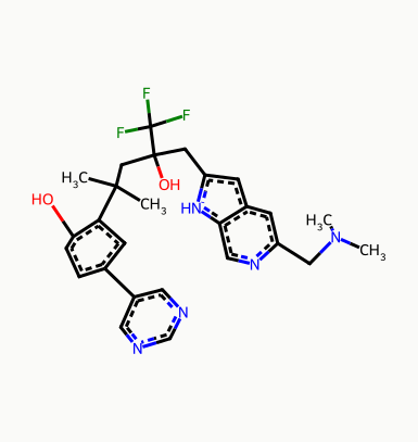 CN(C)Cc1cc2cc(CC(O)(CC(C)(C)c3cc(-c4cncnc4)ccc3O)C(F)(F)F)[nH]c2cn1